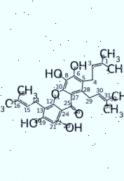 CC(C)=CCc1c(O)c(O)c2oc3c(CC=C(C)C)c(O)cc(O)c3c(=O)c2c1CC=C(C)C